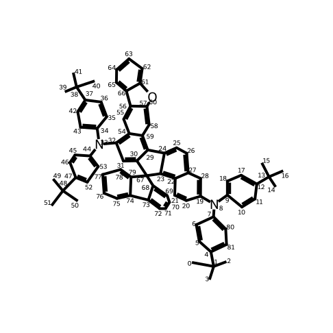 CC(C)(C)c1ccc(N(c2ccc(C(C)(C)C)cc2)c2ccc3c4c(ccc3c2)-c2c(cc(N(c3ccc(C(C)(C)C)cc3)c3ccc(C(C)(C)C)cc3)c3cc5c(cc23)oc2ccccc25)C42c3ccccc3-c3ccccc32)cc1